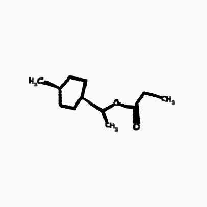 CCC(=O)OC(C)[C@H]1CC[C@@H](C)CC1